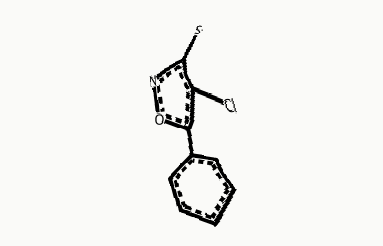 [S]c1noc(-c2ccccc2)c1Cl